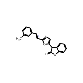 Cc1cccc(/C=C/c2ncc(C3C(=O)Oc4ccccc43)o2)c1